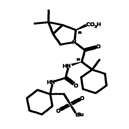 CC1(C)C2CN(C(=O)[C@@H](NC(=O)NC3(CS(=O)(=O)C(C)(C)C)CCCCC3)C3(C)CCCCC3)[C@H](C(=O)O)C21